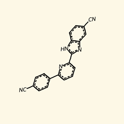 N#Cc1ccc(-c2cccc(-c3nc4cc(C#N)ccc4[nH]3)n2)cc1